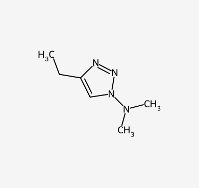 CCc1cn(N(C)C)nn1